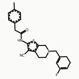 Cc1ccc(CC(=O)Nc2sc3c(c2C#N)CCN(CC2=CC(F)=CCC2)C3)cc1